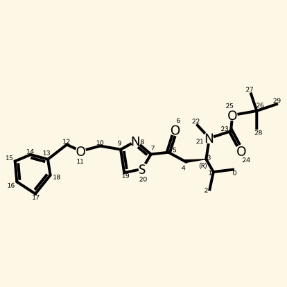 CC(C)[C@@H](CC(=O)c1nc(COCc2ccccc2)cs1)N(C)C(=O)OC(C)(C)C